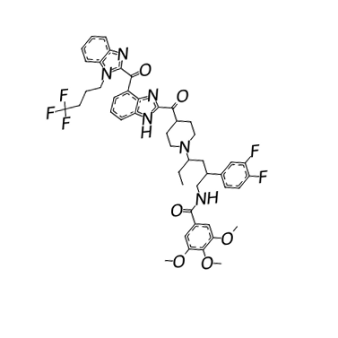 CCC(CC(CNC(=O)c1cc(OC)c(OC)c(OC)c1)c1ccc(F)c(F)c1)N1CCC(C(=O)c2nc3c(C(=O)c4nc5ccccc5n4CCCC(F)(F)F)cccc3[nH]2)CC1